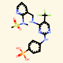 CN(c1ncccc1CNc1nc(Nc2ccc(P(=O)(O)O)cc2)ncc1C(F)(F)F)S(C)(=O)=O